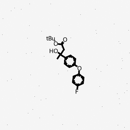 CC(C)(C)OC(=O)CC(C)(O)c1ccc(Oc2ccc(F)cc2)cc1